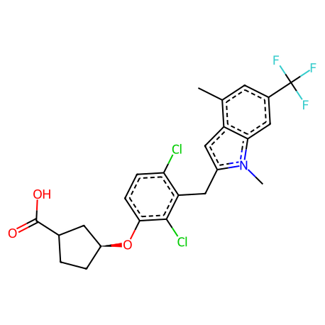 Cc1cc(C(F)(F)F)cc2c1cc(Cc1c(Cl)ccc(O[C@H]3CCC(C(=O)O)C3)c1Cl)n2C